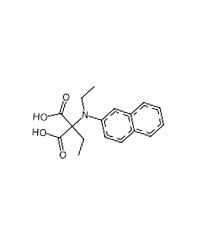 CCN(c1ccc2ccccc2c1)C(CC)(C(=O)O)C(=O)O